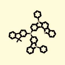 CC1(C)c2ccccc2-c2ccc(N(c3ccc4c(c3)c3ccccc3n4-c3ccccc3)c3ccc4c(c3)c3c5sc6ccccc6c5ccc3n4-c3ccccc3)cc21